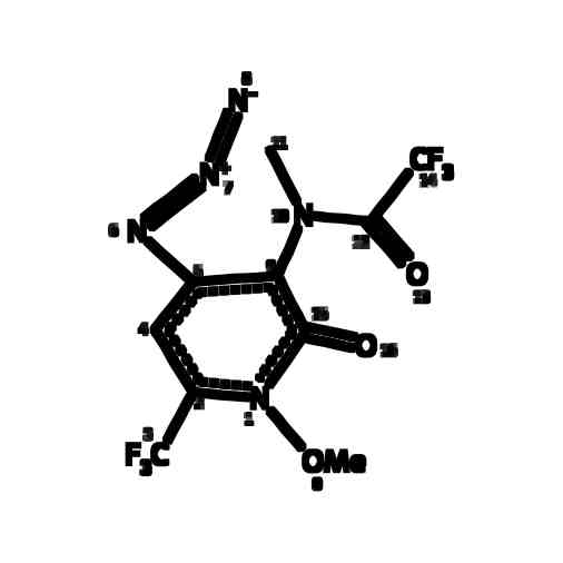 COn1c(C(F)(F)F)cc(N=[N+]=[N-])c(N(C)C(=O)C(F)(F)F)c1=O